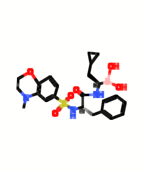 CN1CCOc2ccc(S(=O)(=O)N[C@@H](Cc3ccccc3)C(=O)N[C@@H](CC3CC3)B(O)O)cc21